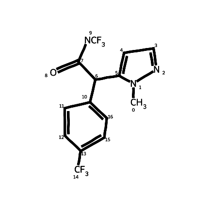 Cn1nccc1C(C(=O)NC(F)(F)F)c1ccc(C(F)(F)F)cc1